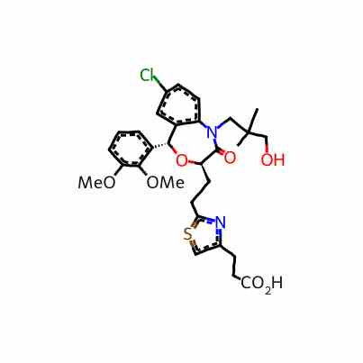 COc1cccc([C@H]2O[C@H](CCc3nc(CCC(=O)O)cs3)C(=O)N(CC(C)(C)CO)c3ccc(Cl)cc32)c1OC